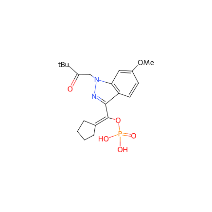 COc1ccc2c(C(OP(=O)(O)O)=C3CCCC3)nn(CC(=O)C(C)(C)C)c2c1